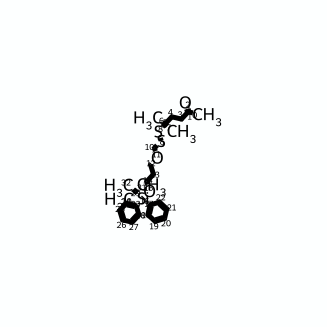 CC(=O)CCC(C)(C)SSCOCCCO[Si](c1ccccc1)(c1ccccc1)C(C)(C)C